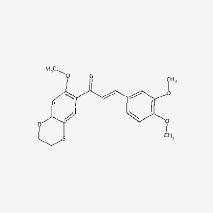 COc1ccc(C=CC(=O)c2cc3c(cc2OC)OCCS3)cc1OC